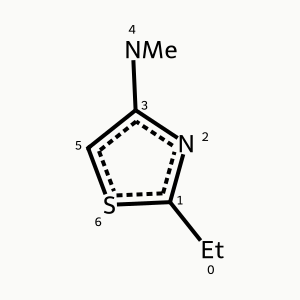 [CH2]Cc1nc(NC)cs1